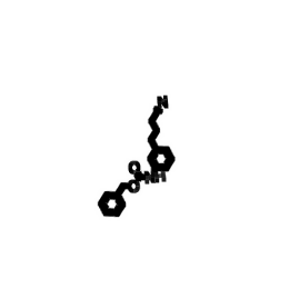 N#CCCCc1cccc(NC(=O)OCc2ccccc2)c1